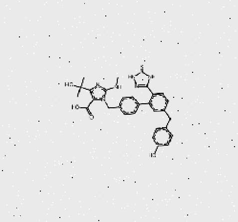 CNc1nc(C(C)(C)O)c(C(=O)O)n1Cc1ccc(-c2cc(Cc3ccc(O)cc3)ccc2C2=NNNN2)cc1